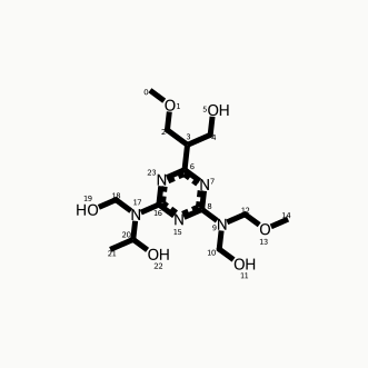 COCC(CO)c1nc(N(CO)COC)nc(N(CO)C(C)O)n1